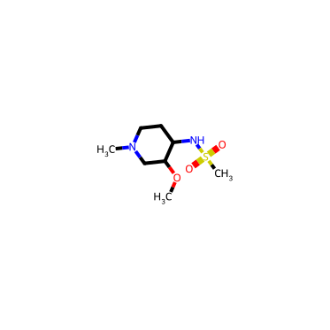 COC1CN(C)CCC1NS(C)(=O)=O